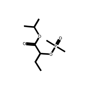 CCC(OP(C)(C)=O)C(=O)OC(C)C